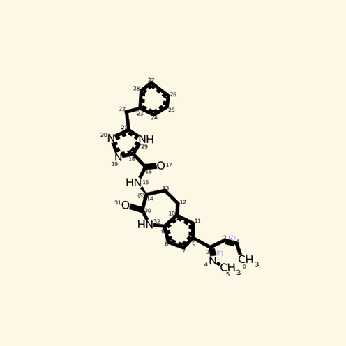 C/C=C\C(=N/C)c1ccc2c(c1)CC[C@H](NC(=O)c1nnc(Cc3ccccc3)[nH]1)C(=O)N2